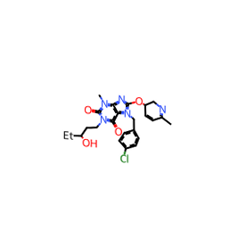 CCC(O)CCn1c(=O)c2c(nc(OC3C=CC(C)=NC3)n2Cc2ccc(Cl)cc2)n(C)c1=O